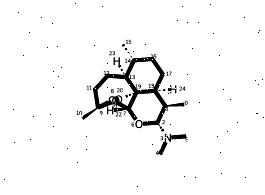 C[C@H]1[C@H](N(C)C)O[C@@H]2O[C@@]3(C)CC[C@H]4[C@H](C)CC[C@@H]1[C@@]24OO3